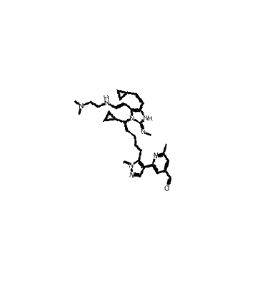 C/N=c1\[nH]c(/C=C\C2CC2)c(/C=C/NCCN(C)C)n1C(CCCCc1c(-c2cc(C=O)cc(C)n2)cnn1C)C1CC1